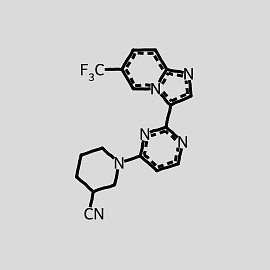 N#CC1CCCN(c2ccnc(-c3cnc4ccc(C(F)(F)F)cn34)n2)C1